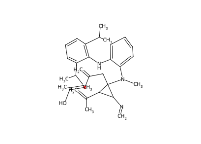 C=NC1C(C(=C)C)C1(CC(=C)/C=C(\C)O)N(C)c1ccccc1Nc1c(C(C)C)cccc1C(C)C